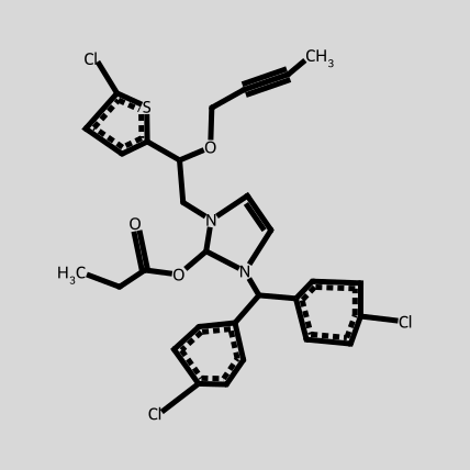 CC#CCOC(CN1C=CN(C(c2ccc(Cl)cc2)c2ccc(Cl)cc2)C1OC(=O)CC)c1ccc(Cl)s1